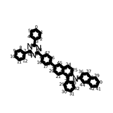 c1ccc(-c2nc(-c3ccccc3)nc(-c3ccc(-c4ccc5c(ccc6c5c5ccccc5n6-c5ccc6ccccc6c5)c4)cc3)n2)cc1